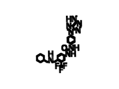 CNc1ncnc2c1ncn2-c1ccc(NC(=O)Nc2ccc(CNCC3CCCCC3)c(C(F)(F)F)c2)cc1